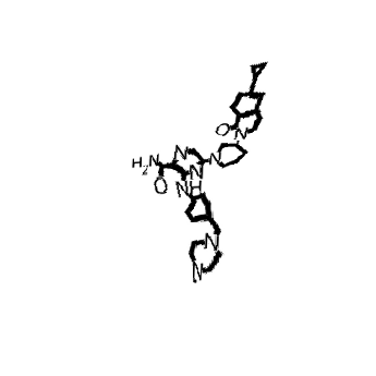 CN1CCN(Cc2ccc(Nc3nc(N4CCC[C@@H](n5ccc6cc(C7CC7)ccc6c5=O)C4)cnc3C(N)=O)cc2)CC1